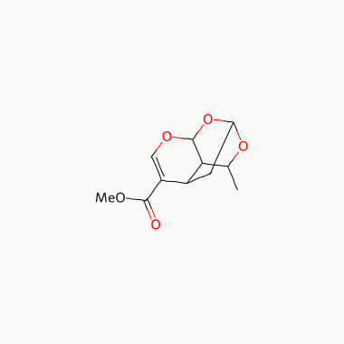 COC(=O)C1=COC2OC3CC1C2C(C)O3